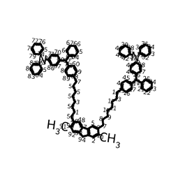 Cc1cc2c(cc1CCCCCCCCc1ccc(C(c3ccccc3)c3ccc(N(c4ccccc4)c4ccccc4)cc3)cc1)-c1cc(CCCCCCCCc3ccc(C(c4ccccc4)c4ccc(N(c5ccccc5)c5ccccc5)cc4)cc3)c(C)cc1C2